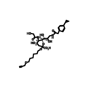 C#CCOCCCCCCO[C@]1(C(=O)O)C[C@H](O)[C@@H](NC(=O)CO)[C@H]([C@H](O)[C@H](O)CNC(=O)Cc2ccc(C3CC3)cc2)O1